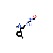 Cc1cccc(C(CCNCCNC=O)N(C)C)c1